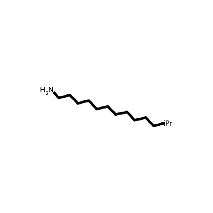 CC(C)CCCCCCCCCCCN